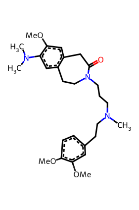 COc1ccc(CCN(C)CCCN2CCc3cc(N(C)C)c(OC)cc3CC2=O)cc1OC